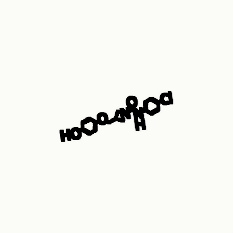 O=C(Nc1ccc(Cl)cc1)N1CC(COc2ccc(O)cc2)C1